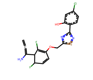 C=C=C(N)C1C(F)=C(OCc2nc(-c3ccc(Cl)cc3O)ns2)C=CC1F